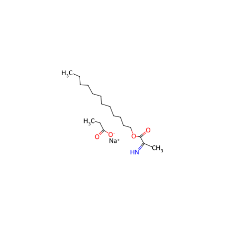 CCC(=O)[O-].CCCCCCCCCCCCOC(=O)C(C)=N.[Na+]